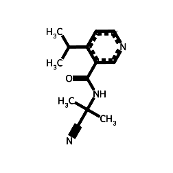 CC(C)c1c[c]ncc1C(=O)NC(C)(C)C#N